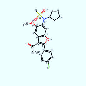 CNC(=O)c1c(-c2ccc(F)cc2)oc2cc(N(C3CCCC3)S(C)(=O)=O)c(OC(C)C)cc12